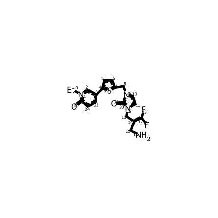 CCn1cc(-c2ccc(Cn3ccn(CC(CN)=C(F)F)c3=O)s2)ccc1=O